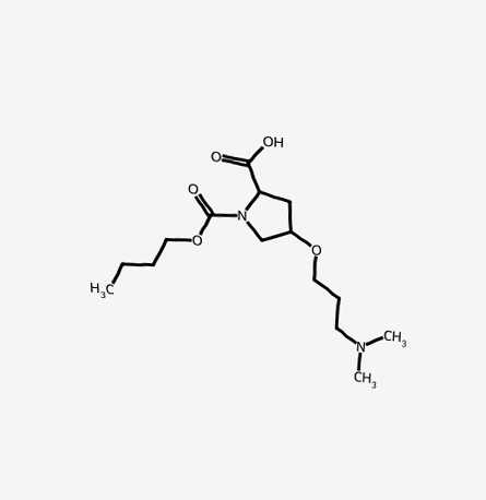 CCCCOC(=O)N1CC(OCCCN(C)C)CC1C(=O)O